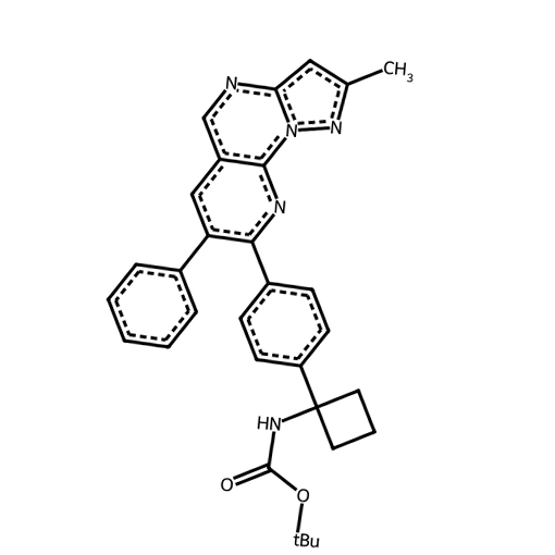 Cc1cc2ncc3cc(-c4ccccc4)c(-c4ccc(C5(NC(=O)OC(C)(C)C)CCC5)cc4)nc3n2n1